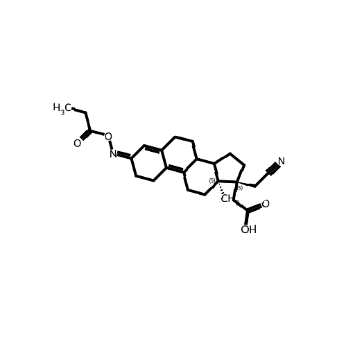 CCC(=O)ON=C1C=C2CCC3C(=C2CC1)CC[C@@]1(C)C3CC[C@]1(CC#N)CC(=O)O